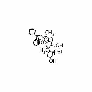 CC[C@H]1[C@@H](O)C2C3CC[C@H]([C@H](C)CC=C(c4ccccc4)c4ccccc4)[C@@]3(C)[C@@H](O)CC2[C@@]2(C)CC[C@@H](O)C[C@@H]12